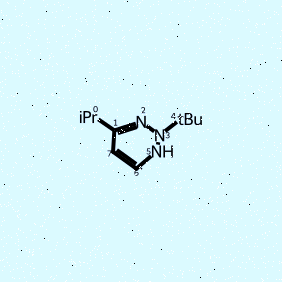 CC(C)C1=NN(C(C)(C)C)N[C]=C1